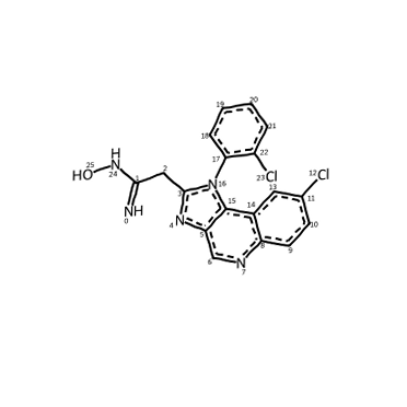 N=C(Cc1nc2cnc3ccc(Cl)cc3c2n1-c1ccccc1Cl)NO